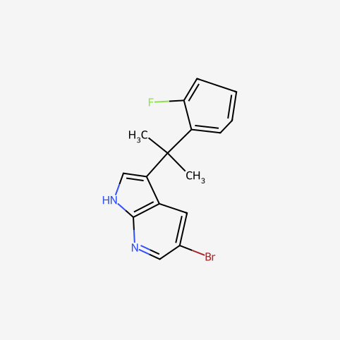 CC(C)(c1ccccc1F)c1c[nH]c2ncc(Br)cc12